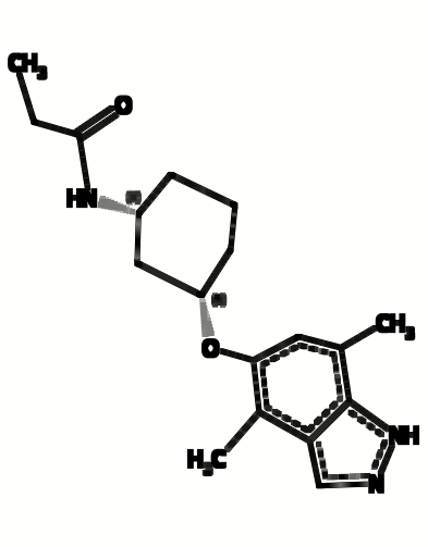 CCC(=O)N[C@@H]1CCC[C@H](Oc2cc(C)c3[nH]ncc3c2C)C1